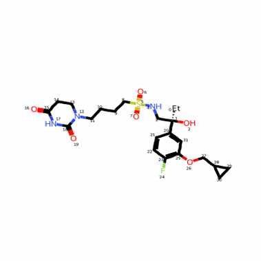 CC[C@@](O)(CNS(=O)(=O)CCCCN1CCC(=O)NC1=O)c1ccc(F)c(OCC2CC2)c1